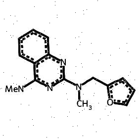 CNc1nc(N(C)Cc2ccco2)nc2ccccc12